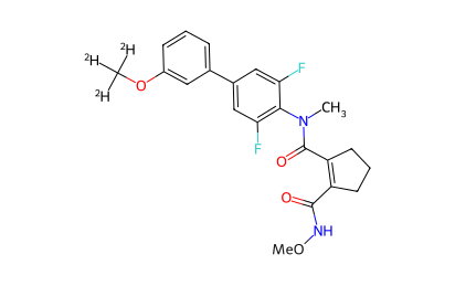 [2H]C([2H])([2H])Oc1cccc(-c2cc(F)c(N(C)C(=O)C3=C(C(=O)NOC)CCC3)c(F)c2)c1